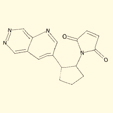 O=C1C=CC(=O)N1C1CCCC1c1cnc2cnncc2c1